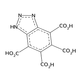 O=C(O)c1c(C(=O)O)c(C(=O)O)c2[nH]nnc2c1C(=O)O